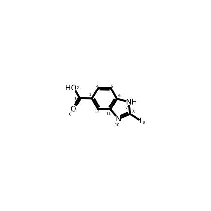 O=C(O)c1ccc2[nH]c(I)nc2c1